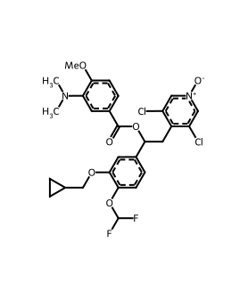 COc1ccc(C(=O)OC(Cc2c(Cl)c[n+]([O-])cc2Cl)c2ccc(OC(F)F)c(OCC3CC3)c2)cc1N(C)C